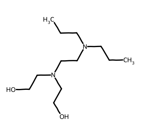 CCCN(CCC)CCN(CCO)CCO